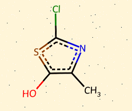 Cc1nc(Cl)sc1O